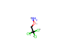 NOCC(Cl)(Cl)Cl